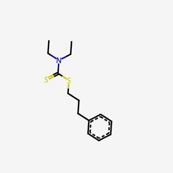 CCN(CC)C(=S)SCCCc1ccccc1